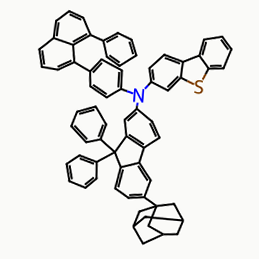 c1ccc(-c2cccc3cccc(-c4ccc(N(c5ccc6c(c5)C(c5ccccc5)(c5ccccc5)c5ccc(C78CC9CC(CC(C9)C7)C8)cc5-6)c5ccc6c(c5)sc5ccccc56)cc4)c23)cc1